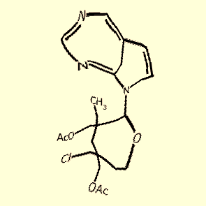 CC(=O)OC1(Cl)COC(n2ccc3cncnc32)C1(C)OC(C)=O